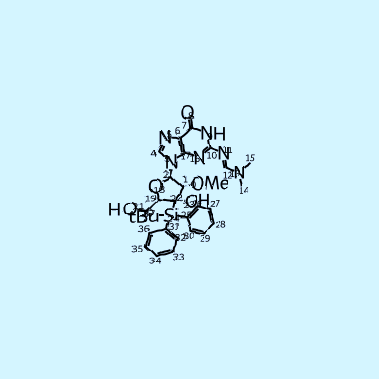 CO[C@H]1[C@H](n2cnc3c(=O)[nH]c(N=CN(C)C)nc32)O[C@H](CO)[C@]1(O)[Si](c1ccccc1)(c1ccccc1)C(C)(C)C